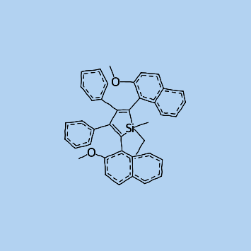 CC[Si]1(C)C(c2c(OC)ccc3ccccc23)=C(c2ccccc2)C(c2ccccc2)=C1c1c(OC)ccc2ccccc12